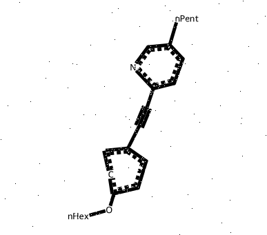 CCCCCCOc1ccc(C#Cc2ccc(CCCCC)cn2)cc1